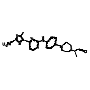 Cc1nc(N)sc1-c1ccnc(Nc2ccc(N3CCN(C(C)C=O)CC3)cc2)n1